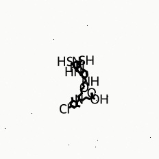 Cc1cc(Cl)cc(C)c1N(CCCOCNc1cccc(Nc2nc(S)nc(S)n2)c1)CCCC(=O)O